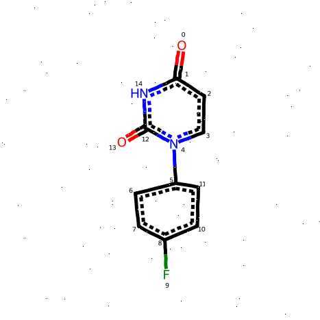 O=c1ccn(-c2ccc(F)cc2)c(=O)[nH]1